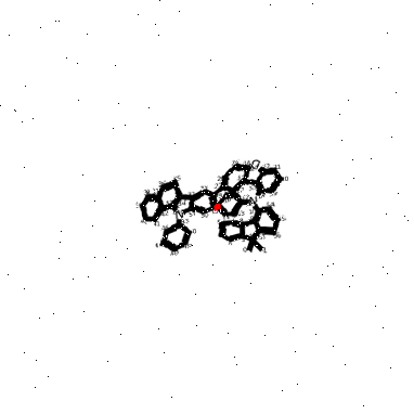 CC1(C)c2ccccc2-c2c(N(c3ccccc3)c3cccc4oc5ccc(-c6ccc7c(c6)c6ccc8ccccc8c6n7-c6ccccc6)cc5c34)cccc21